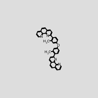 Cc1cc(Oc2ccc(-c3ccc4ccc5cccnc5c4n3)c(C)c2)ccc1-c1ccc2ccc3cccnc3c2n1